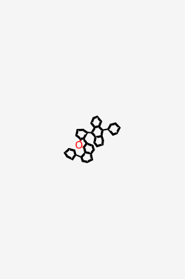 c1ccc(-c2c3ccccc3c(-c3cccc4oc5c(ccc6cccc(-c7ccccc7)c65)c34)c3ccccc23)cc1